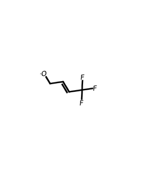 [O]C/C=C/C(F)(F)F